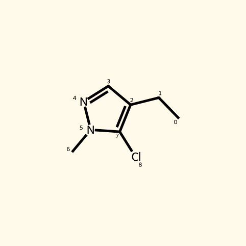 CCc1cnn(C)c1Cl